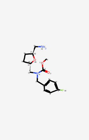 COC(=O)N(Cc1ccc(F)cc1)C[C@@H]1CC[C@@H](CN)O1